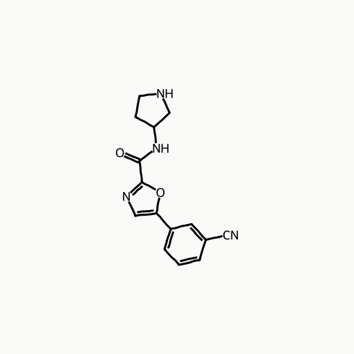 N#Cc1cccc(-c2cnc(C(=O)NC3CCNC3)o2)c1